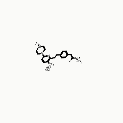 CC(=O)N1CCN(c2ccc(C(F)(F)F)c(CCc3ccc(CC(=O)NN)cc3)n2)CC1.Cl.Cl